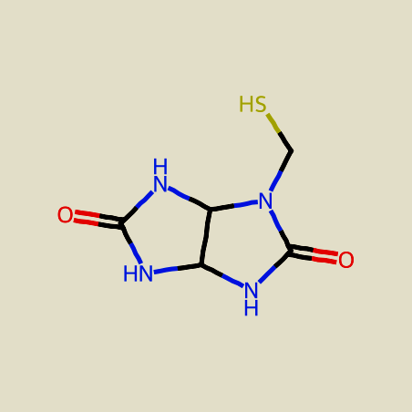 O=C1NC2NC(=O)N(CS)C2N1